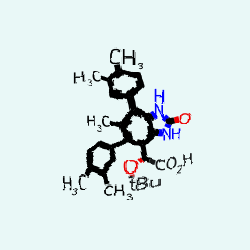 CC1=CC=C(c2c(C)c(-c3ccc(C)c(C)c3)c3[nH]c(=O)[nH]c3c2C(OC(C)(C)C)C(=O)O)CC1C